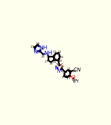 CC(C)Oc1ccc(-c2nnc(-c3cccc4c3CCC4NCc3ncc[nH]3)s2)cc1C#N